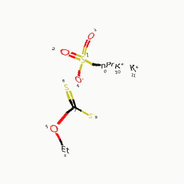 CCCS(=O)(=O)[O-].CCOC(=S)[S-].[K+].[K+]